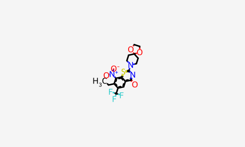 CCc1c(C(F)(F)F)cc2c(=O)nc(N3CCC4(CC3)OCCO4)sc2c1[N+](=O)[O-]